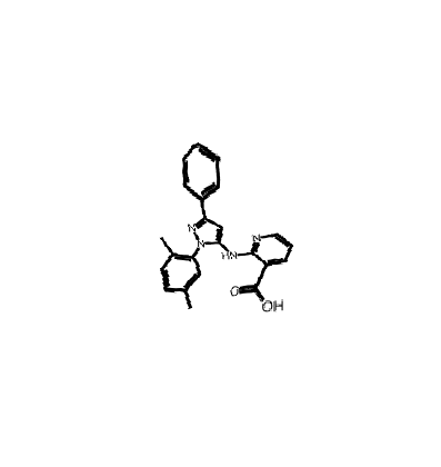 Cc1ccc(C)c(-n2nc(-c3ccccc3)cc2Nc2ncccc2C(=O)O)c1